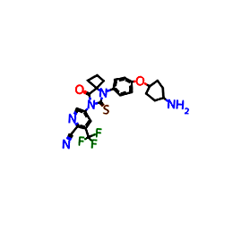 N#Cc1ncc(N2C(=O)C3(CCC3)N(c3ccc(OC4CCC(N)CC4)cc3)C2=S)cc1C(F)(F)F